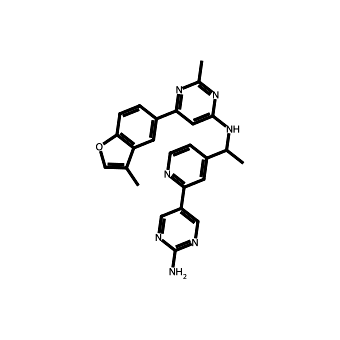 Cc1nc(NC(C)c2ccnc(-c3cnc(N)nc3)c2)cc(-c2ccc3occ(C)c3c2)n1